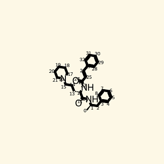 C[C@H](Cc1ccccc1)NC(=O)[C@H](CCCN1CCCCC1)NC(=O)/C=C/c1ccccc1